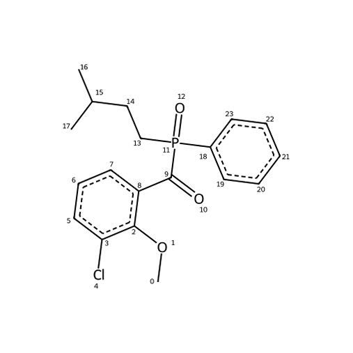 COc1c(Cl)cccc1C(=O)P(=O)(CCC(C)C)c1ccccc1